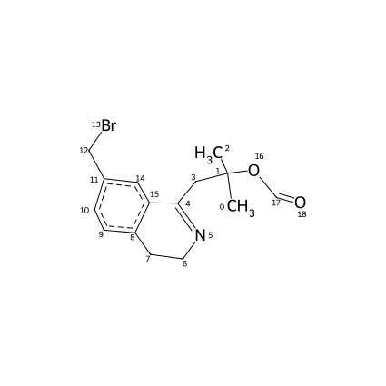 CC(C)(CC1=NCCc2ccc(CBr)cc21)OC=O